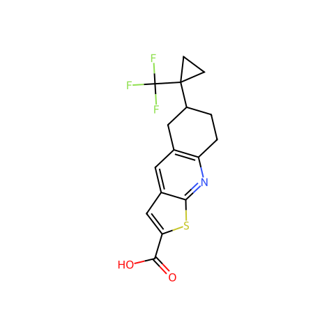 O=C(O)c1cc2cc3c(nc2s1)CCC(C1(C(F)(F)F)CC1)C3